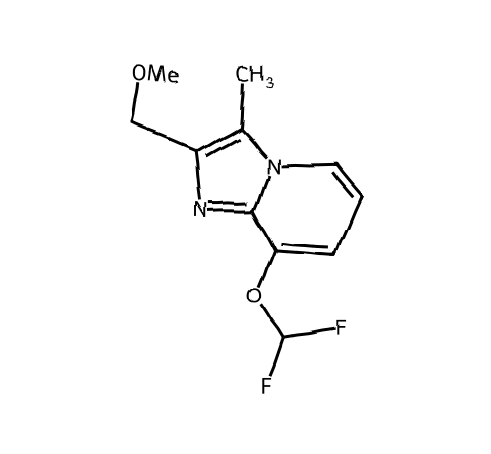 COCc1nc2c(OC(F)F)cccn2c1C